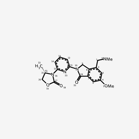 CNCc1cc(OC)cc2c1CN(c1cccc(N3C(=O)OC[C@@H]3C)n1)C2=O